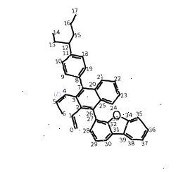 C=Cc1c(/C=C\C)c(-c2ccc(C(CC)CCC)cc2)c2ccccc2c1-c1cccc2c1oc1ccccc12